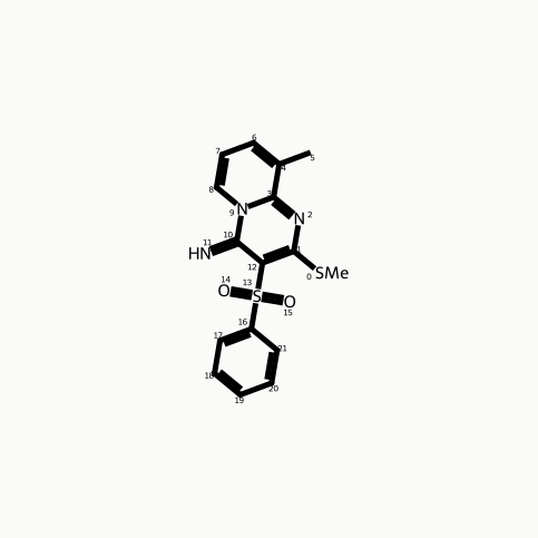 CSc1nc2c(C)cccn2c(=N)c1S(=O)(=O)c1ccccc1